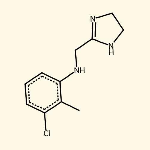 Cc1c(Cl)cccc1NCC1=NCCN1